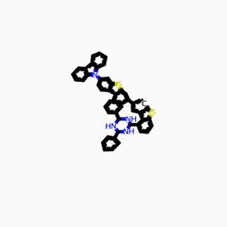 c1ccc(C2NC(c3ccccc3)NC(c3cccc4sc5ccc(-c6ccc7c(c6)sc6cc(-n8c9ccccc9c9ccccc98)ccc67)cc5c34)N2)cc1